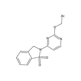 CC(=O)COc1nccc(N2Cc3ccccc3S2(=O)=O)n1